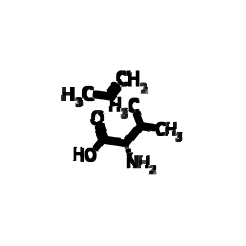 C=CC.CC(C)[C@H](N)C(=O)O